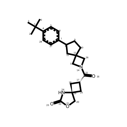 CC(C)(C)c1ccc(C2CCC3(C2)CN(C(=O)[C@H]2C[C@]4(COC(=O)N4)C2)C3)cc1